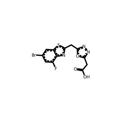 O=C(O)Cc1nnc(Cc2nc3c(F)cc(Br)cc3s2)o1